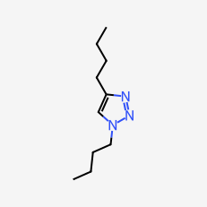 CCCCc1cn(CCCC)nn1